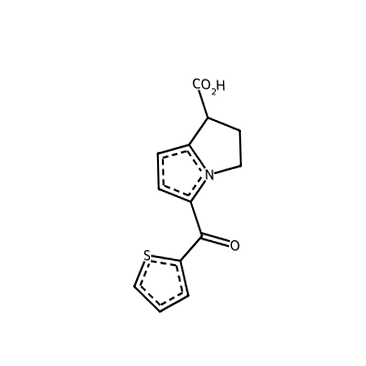 O=C(c1cccs1)c1ccc2n1CCC2C(=O)O